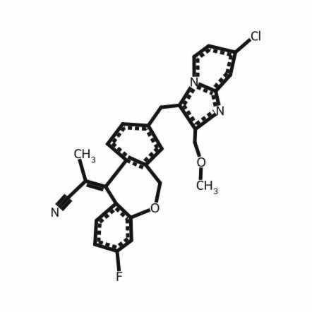 COCc1nc2cc(Cl)ccn2c1Cc1ccc2c(c1)COc1cc(F)ccc1C2=C(C)C#N